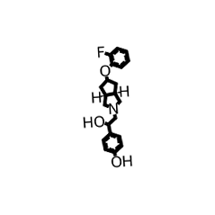 Oc1ccc(C(O)CN2C[C@H]3CC(Oc4ccccc4F)C[C@H]3C2)cc1